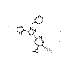 COc1nc(-c2cc(C3=NCC=C3)n(Cc3ccccc3)n2)ncc1P